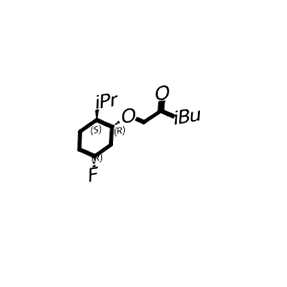 CCC(C)C(=O)CO[C@@H]1C[C@H](F)CC[C@H]1C(C)C